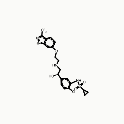 O=S(=O)(Nc1cc([C@@H](O)CNCCOc2ccc3c(C(F)(F)F)n[nH]c3c2)ccc1Cl)C1CC1